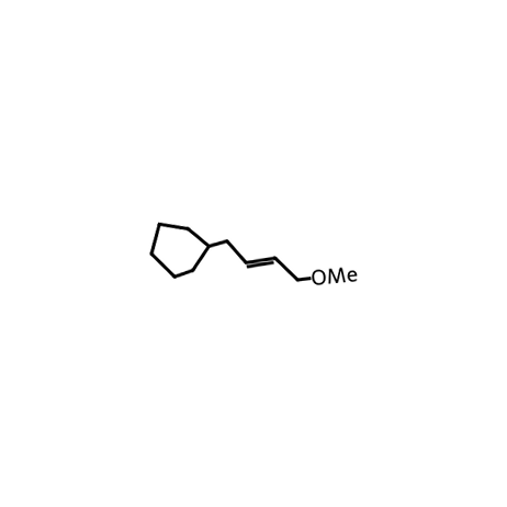 COCC=CCC1CCCCC1